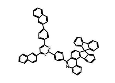 c1ccc2c(c1)-c1ccccc1C21c2ccccc2-c2c1ccc1c(-c3ccc(-c4nc(-c5ccc(-c6ccc7ccccc7c6)cc5)cc(-c5ccc6ccccc6c5)n4)cc3)nc3ccccc3c21